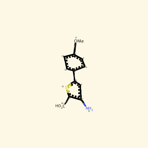 COc1ccc(-c2cc(N)c(C(=O)O)s2)cc1